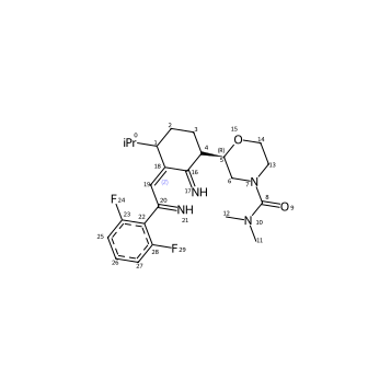 CC(C)C1CCC([C@@H]2CN(C(=O)N(C)C)CCO2)C(=N)/C1=C\C(=N)c1c(F)cccc1F